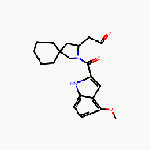 COc1cccc2[nH]c(C(=O)N3CC4(CCCCC4)CC3CC=O)cc12